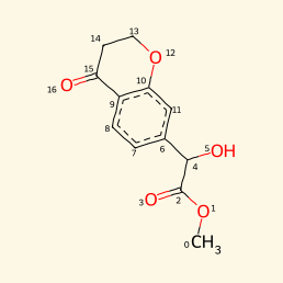 COC(=O)C(O)c1ccc2c(c1)OCCC2=O